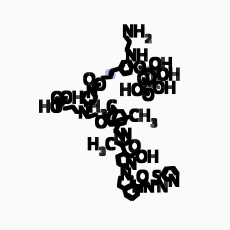 Cc1c(-c2ccc(N3CCc4cccc(C(=O)Nc5nc6ncccc6s5)c4C3)nc2C(=O)O)cnn1CC12CC3(C)CC(C)(C1)CC(OCCN(CCCP(=O)(O)O)C1CCN(C(=O)OC/C=C/c4ccc(O[C@@H]5O[C@H](C(=O)O)[C@@H](O)[C@H](O)[C@H]5O)c(NCCCN)c4)CC1)(C3)C2